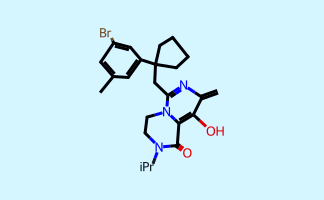 C=C1N=C(CC2(c3cc(C)cc(Br)c3)CCCC2)N2CCN(C(C)C)C(=O)C2=C1O